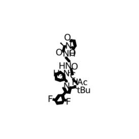 CC(=O)N(CC[C@H](N)C(=O)NCCNC(=O)[C@@H](C)N1C(=O)C=CC1=O)[C@@H](c1cc(-c2cc(F)ccc2F)cn1Cc1ccccc1)C(C)(C)C